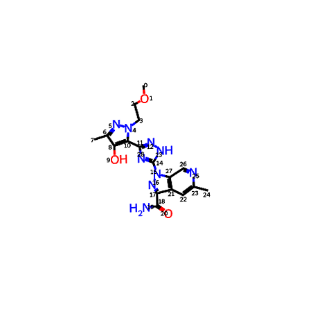 COCCn1nc(C)c(O)c1-c1n[nH]c(-n2nc(C(N)=O)c3cc(C)ncc32)n1